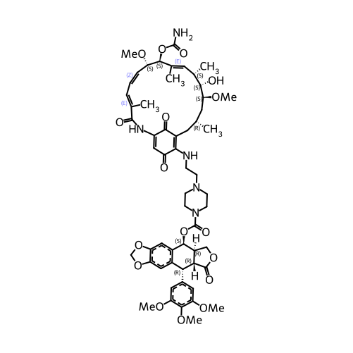 COc1cc([C@@H]2c3cc4c(cc3[C@@H](OC(=O)N3CCN(CCNC5=C6C[C@@H](C)C[C@H](OC)[C@@H](O)[C@@H](C)/C=C(\C)[C@H](OC(N)=O)[C@@H](OC)/C=C\C=C(/C)C(=O)NC(=CC5=O)C6=O)CC3)[C@H]3COC(=O)[C@H]23)OCO4)cc(OC)c1OC